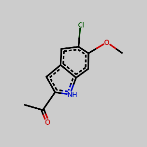 COc1cc2[nH]c(C(C)=O)cc2cc1Cl